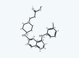 COC(=O)CCN1CCC(Nc2ncc3ncnc(Nc4cccc(C)c4)c3n2)CC1